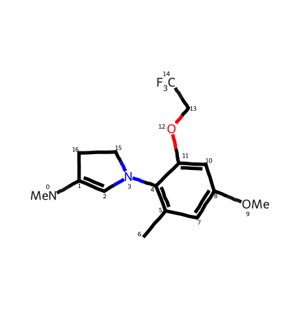 CNC1=CN(c2c(C)cc(OC)cc2OCC(F)(F)F)CC1